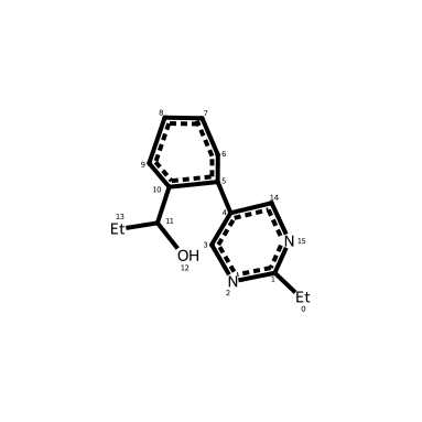 CCc1ncc(-c2ccccc2C(O)CC)cn1